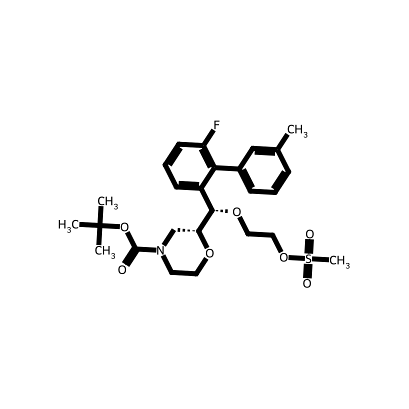 Cc1cccc(-c2c(F)cccc2[C@H](OCCOS(C)(=O)=O)[C@H]2CN(C(=O)OC(C)(C)C)CCO2)c1